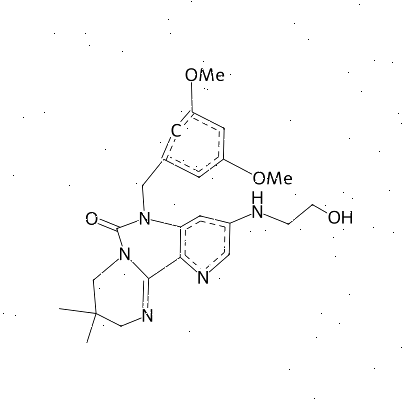 COc1cc(CN2C(=O)N3CC(C)(C)CN=C3c3ncc(NCCO)cc32)cc(OC)c1